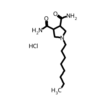 CCCCCCCCN1CC(C(N)=O)C(C(N)=O)C1.Cl